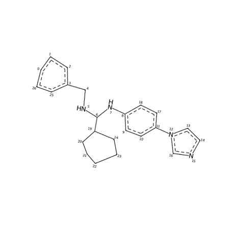 c1ccc(CNC(Nc2ccc(-n3ccnc3)cc2)C2CCCCC2)cc1